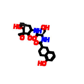 CC(C)CC(NC(=O)[C@H](CO)NC(=O)C1CCc2c(O)cccc2C1)C(=O)C1(CO)CO1